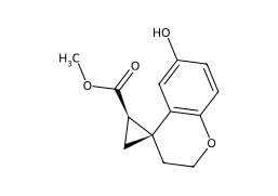 COC(=O)[C@@H]1C[C@@]12CCOc1ccc(O)cc12